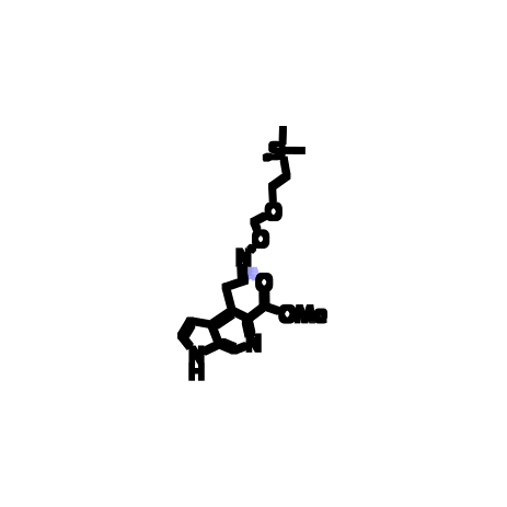 COC(=O)c1ncc2[nH]ccc2c1C/C=N/OCOCC[Si](C)(C)C